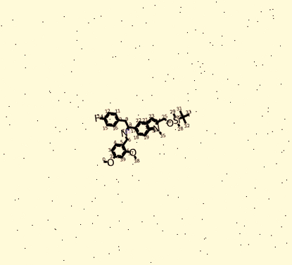 COc1ccc(C/N=C(/Cc2ccc(F)cc2)c2ccc3c(c2)cc(CO[Si](C)(C)C(C)(C)C)n3C)c(OC)c1